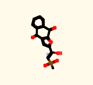 CS(=O)(=O)/C=C(\O)c1cc2c(o1)C(=O)c1ccccc1C2=O